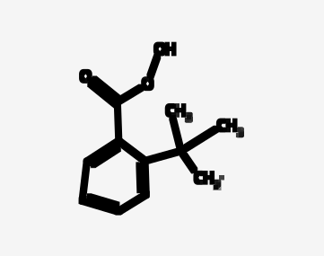 [CH2]C(C)(C)c1ccccc1C(=O)OO